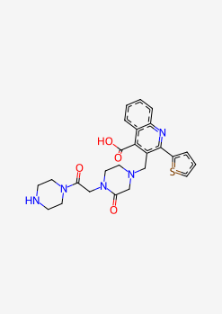 O=C(O)c1c(CN2CCN(CC(=O)N3CCNCC3)C(=O)C2)c(-c2cccs2)nc2ccccc12